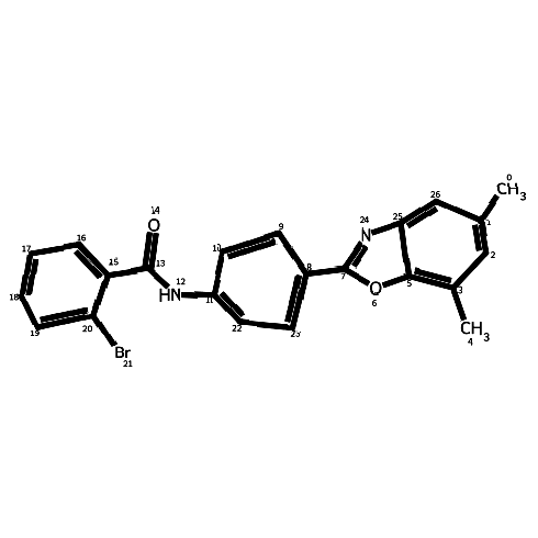 Cc1cc(C)c2oc(-c3ccc(NC(=O)c4ccccc4Br)cc3)nc2c1